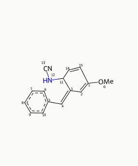 COC1=CC(=Cc2ccccc2)C(NC#N)C=C1